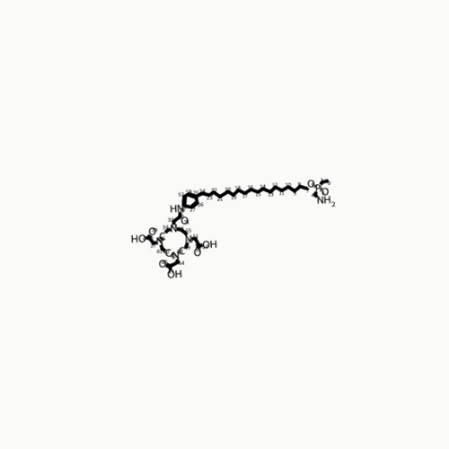 CCP(=O)(CN)OCCCCCCCCCCCCCCCCCCc1ccc(NC(=O)CN2CCN(CC(=O)O)CCN(CC(=O)O)CCN(CC(=O)O)CC2)cc1